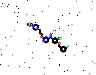 CN1CCN(CCCOc2nccc(Nc3ccc(OCc4cccc(F)c4)c(Cl)c3)n2)CC1